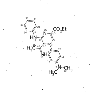 CCOC(=O)c1cc(-c2ccc(N(C)C)cc2)c(C(C)=N)c(Nc2ccccc2)n1